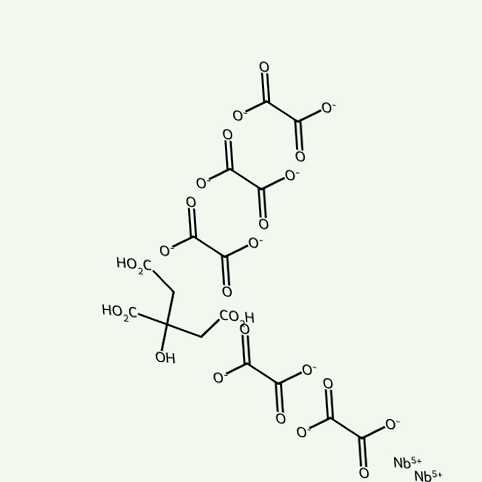 O=C(O)CC(O)(CC(=O)O)C(=O)O.O=C([O-])C(=O)[O-].O=C([O-])C(=O)[O-].O=C([O-])C(=O)[O-].O=C([O-])C(=O)[O-].O=C([O-])C(=O)[O-].[Nb+5].[Nb+5]